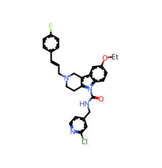 CCOc1ccc2c(c1)c1c(n2C(=O)NCc2ccnc(Cl)c2)CCN(CC=Cc2ccc(F)cc2)C1